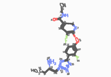 N#CCNC(=O)c1cnc(Oc2ccc(-c3nnn(C[C@@H](N)CC(=O)O)n3)c(F)c2)c(F)c1